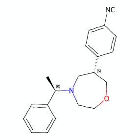 [C-]#[N+]c1ccc([C@@H]2COCCN([C@H](C)c3ccccc3)C2)cc1